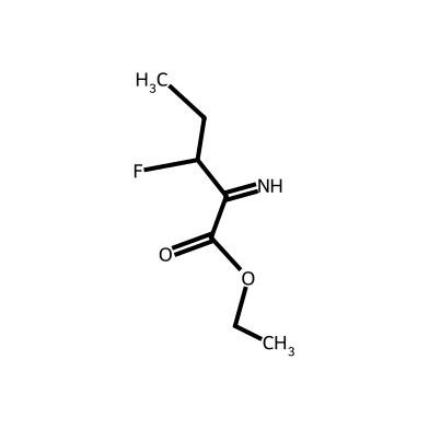 CCOC(=O)C(=N)C(F)CC